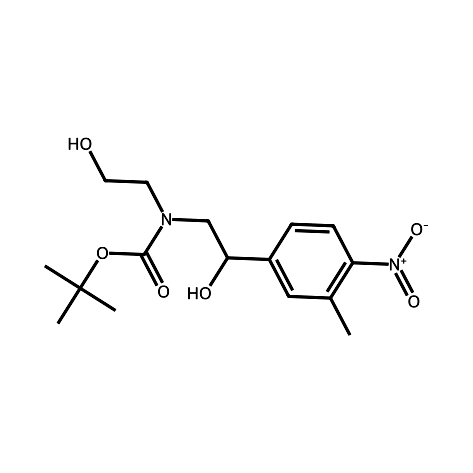 Cc1cc(C(O)CN(CCO)C(=O)OC(C)(C)C)ccc1[N+](=O)[O-]